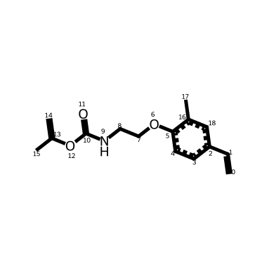 C=Cc1ccc(OCCNC(=O)OC(=C)C)c(C)c1